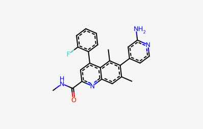 CNC(=O)c1cc(-c2ccccc2F)c2c(C)c(-c3ccnc(N)c3)c(C)cc2n1